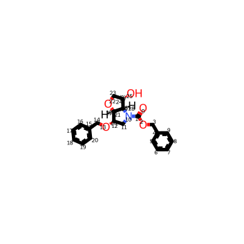 O=C(OCc1ccccc1)N1C[C@@H](OCc2ccccc2)[C@H]2OC[C@H](O)[C@H]21